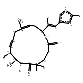 C/C(=C\c1csc(C)n1)[C@@H]1C/C=C(/C(F)(F)F)C/C=C/[C@H](C)[C@H](O)[C@@H](C)C(=O)C(C)(C)CCC(=O)O1